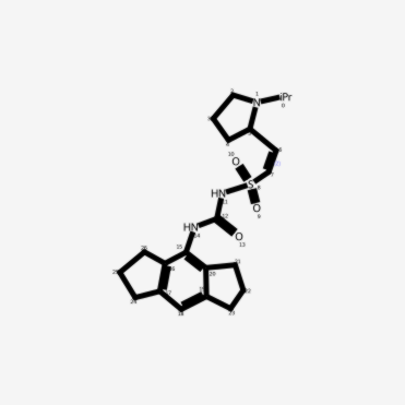 CC(C)N1CCCC1/C=C\S(=O)(=O)NC(=O)Nc1c2c(cc3c1CCC3)CCC2